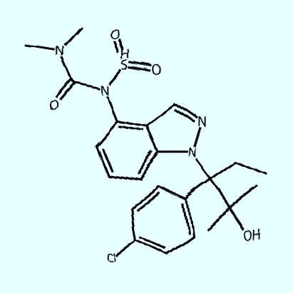 CCC(c1ccc(Cl)cc1)(n1ncc2c(N(C(=O)N(C)C)[SH](=O)=O)cccc21)C(C)(C)O